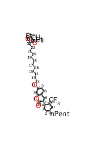 CCCCCc1ccc(-c2cc3ccc(OCCCCCCCCCCCC[Si](C)(OCC)OCC)cc3oc2=O)c(C(F)(F)F)c1